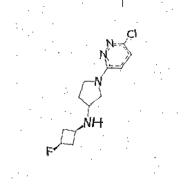 F[C@H]1C[C@@H](NC2CCN(c3ccc(Cl)nn3)C2)C1